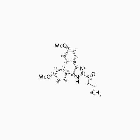 C=CC[S+]([O-])c1nc(-c2ccc(OC)cc2)c(-c2ccc(OC)cc2)[nH]1